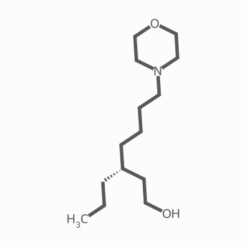 CCC[C@@H](CCO)CCCCN1CCOCC1